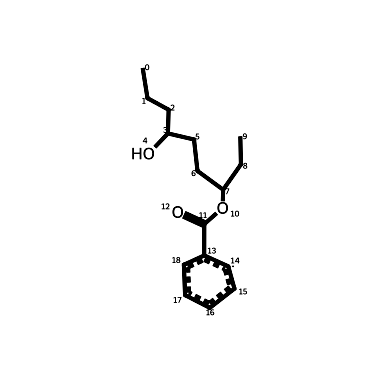 CCCC(O)CCC(CC)OC(=O)c1[c]cccc1